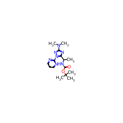 CC(NC(=O)OC(C)(C)C)c1nc(N(C)C)nn1-c1ncccn1